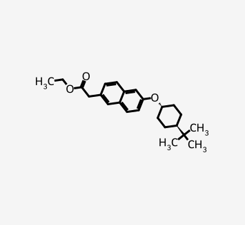 CCOC(=O)Cc1ccc2cc(O[C@H]3CC[C@H](C(C)(C)C)CC3)ccc2c1